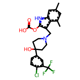 Cc1cc(C)c2c(CN3CCC(O)(c4ccc(Cl)c(C(F)(F)F)c4)CC3)c(OC(=O)O)[nH]c2c1